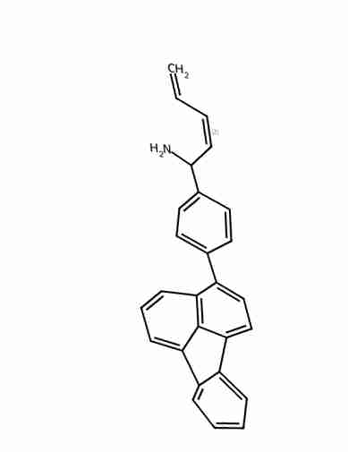 C=C/C=C\C(N)c1ccc(-c2ccc3c4c(cccc24)-c2ccccc2-3)cc1